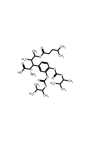 CC(C)CCC(=O)OC(C)C(C)C(c1ccc(OC(=O)OC(C)C(C)C)c(OC(=O)OC(C)C(C)C)c1)[C@H](N)C(=O)O